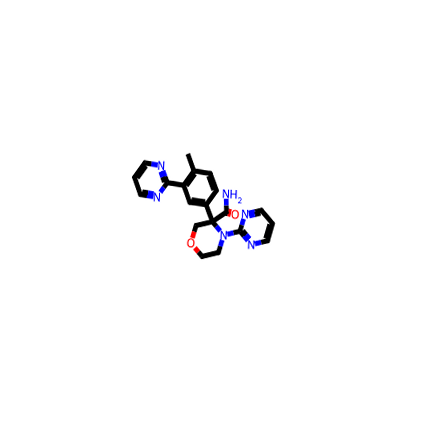 Cc1ccc(C2(C(N)=O)COCCN2c2ncccn2)cc1-c1ncccn1